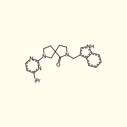 CC(C)c1ccnc(N2CCC3(CCN(Cc4c[nH]c5ccccc45)C3=O)C2)n1